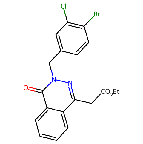 CCOC(=O)Cc1nn(Cc2ccc(Br)c(Cl)c2)c(=O)c2ccccc12